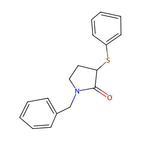 O=C1C(Sc2ccccc2)CCN1Cc1ccccc1